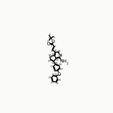 CC(C)(C)OC(=O)C=Cc1cnc(N)c2c(-c3ccc(Oc4ccccc4)cc3)csc12